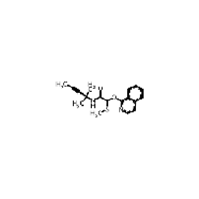 CC#CC(C)(C)NC(=O)C(Oc1nccc2ccccc12)SC